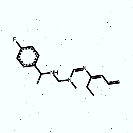 C=C/C=C(CC)/N=C\N(C)CNC(C)c1ccc(F)cc1